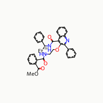 CC[C@H](NC(=O)c1c(OCCNC(=O)c2ccccc2C(=O)OC)c(-c2ccccc2)nc2ccccc12)c1ccccc1